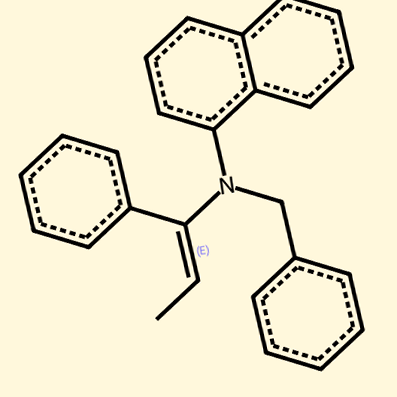 C/C=C(\c1ccccc1)N(Cc1ccccc1)c1cccc2ccccc12